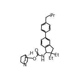 CCC1(CC)Cc2cc(-c3ccc(CC(C)C)cc3)ccc2C1NC(=O)O[C@H]1CN2CCC1CC2